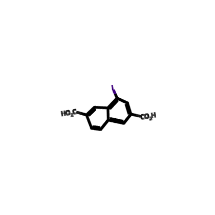 O=C(O)c1cc(I)c2cc(C(=O)O)ccc2c1